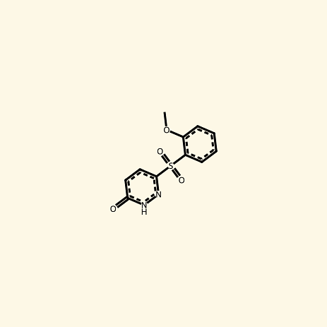 COc1ccccc1S(=O)(=O)c1ccc(=O)[nH]n1